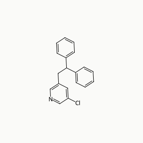 Clc1cncc(CC(c2ccccc2)c2ccccc2)c1